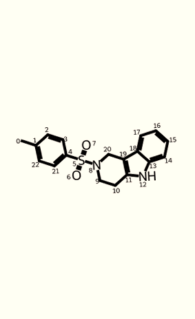 Cc1ccc(S(=O)(=O)N2CCc3[nH]c4ccccc4c3C2)cc1